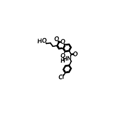 O=C(NCc1ccc(Cl)cc1)c1ccc2oc(=O)c(CCCO)cc2c1O